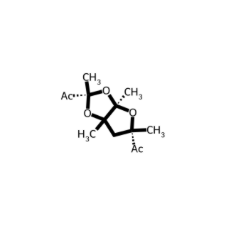 CC(=O)[C@@]1(C)OC2(C)C[C@@](C)(C(C)=O)O[C@]2(C)O1